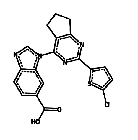 O=C(O)c1ccc2ncn(-c3nc(-c4ccc(Cl)s4)nc4c3CCC4)c2c1